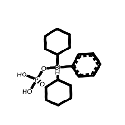 O=P(O)(O)[O][BiH]([c]1ccccc1)([CH]1CCCCC1)[CH]1CCCCC1